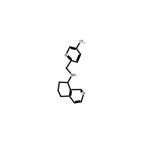 FC(F)(F)c1ccc(CNC2CCCc3ccncc32)nc1